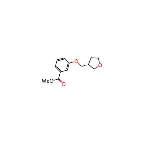 COC(=O)c1cccc(OC[C@@H]2CCOC2)c1